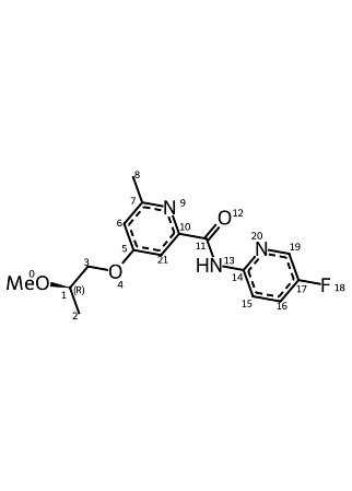 CO[C@H](C)COc1cc(C)nc(C(=O)Nc2ccc(F)cn2)c1